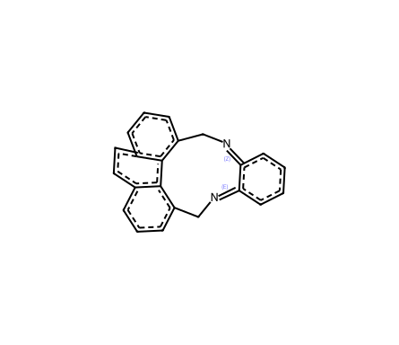 c1ccc2/c(c1)=N\Cc1cccc3ccc4cccc(c4c13)C/N=2